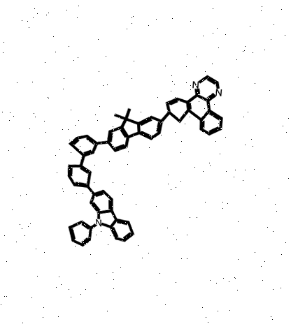 CC1(C)c2cc(-c3cccc(-c4cccc(-c5ccc6c7ccccc7n(-c7ccccc7)c6c5)c4)c3)ccc2-c2ccc(C3C=Cc4c(c5ccccc5c5nccnc45)C3)cc21